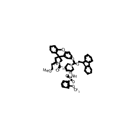 COCCCCC1(CNC(=O)[C@H]2C[C@@H](NS(=O)(=O)c3ccccc3OC(F)(F)F)CN(C(=O)OCC3c4ccccc4-c4ccccc43)C2)c2ccccc2Oc2ccccc21